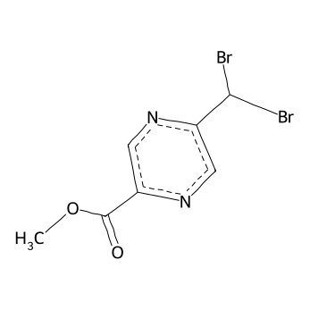 COC(=O)c1cnc(C(Br)Br)cn1